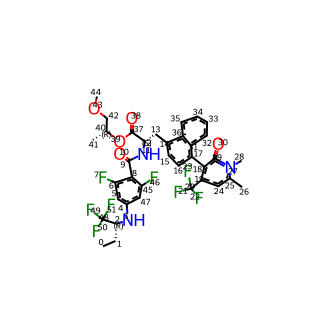 CC[C@@H](Nc1cc(F)c(C(=O)N[C@@H](Cc2ccc(-c3c(C(F)(F)F)cc(C)n(C)c3=O)c3ccccc23)C(=O)O[C@H](C)COC)c(F)c1)C(F)(F)F